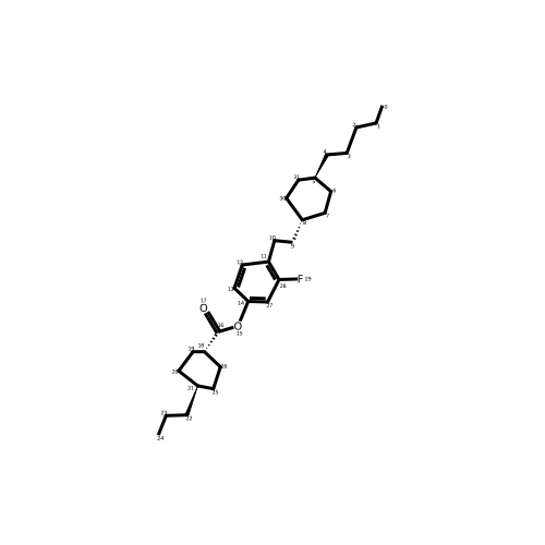 CCCCC[C@H]1CC[C@H](CCc2ccc(OC(=O)[C@H]3CC[C@H](CCC)CC3)cc2F)CC1